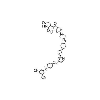 CC(C)(c1ccc(OCc2ccnc(N3CCC(N4CCC(CN5CCN(c6ccc7c(c6)C(=O)N(C6CCC(=O)NC6=O)C7=O)CC5)CC4)C3)n2)cc1)c1cc(Cl)cc(C#N)c1